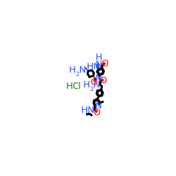 Cc1nc(C(=O)NC(C)C)ccc1-c1ccc(C[C@H](N)C(=O)N(c2ccc3c(=O)[nH][nH]c3c2)C(=O)[C@H]2CC[C@H](CN)CC2)cc1.Cl